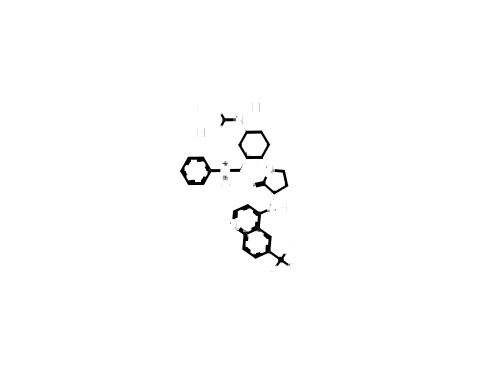 CC(C)N(C)[C@@H]1CC[C@H](N2CC[C@H](Nc3ccnc4ccc(C(F)(F)F)cc34)C2=O)[C@@H](CS(=O)(=O)c2ccccc2)C1